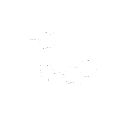 COc1cccc(-c2cc(N3CCCCC3)c([N+](=O)[O-])c3nonc23)c1